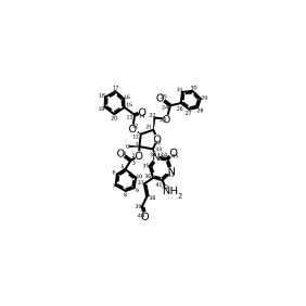 C[C@@]1(OC(=O)c2ccccc2)[C@H](OC(=O)c2ccccc2)[C@@H](COC(=O)c2ccccc2)O[C@H]1n1cc(C=CC=O)c(N)nc1=O